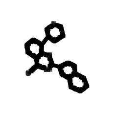 O=c1[nH]c(-c2ccc3ccccc3c2)nc2c(-c3cccnc3)cccc12